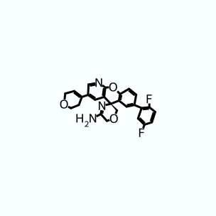 NC1=N[C@@]2(COC1)c1cc(-c3cc(F)ccc3F)ccc1Oc1ncc(C3=CCOCC3)cc12